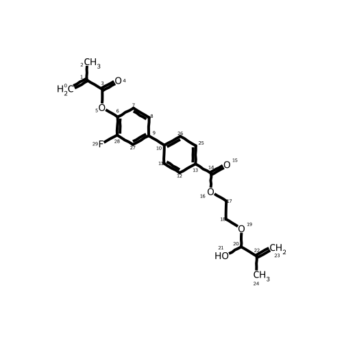 C=C(C)C(=O)Oc1ccc(-c2ccc(C(=O)OCCOC(O)C(=C)C)cc2)cc1F